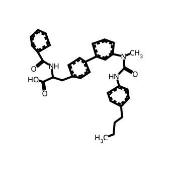 CCCCc1ccc(NC(=O)N(C)c2cccc(-c3ccc(CC(NC(=O)c4ccccc4)C(=O)O)cc3)c2)cc1